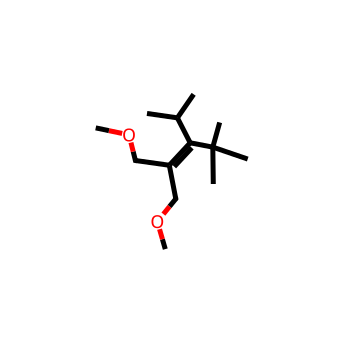 COCC(COC)=C(C(C)C)C(C)(C)C